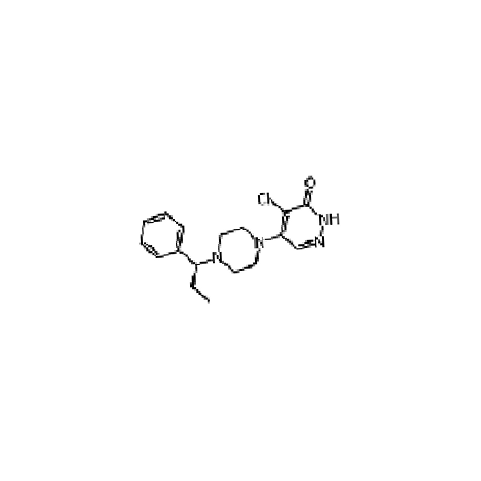 CC[C@@H](c1ccccc1)N1CCN(c2cn[nH]c(=O)c2Cl)CC1